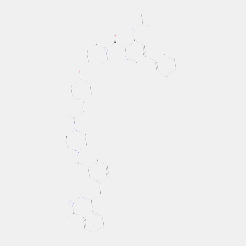 CC(=O)Nc1cc(-c2cccc(C)c2)cnc1C(=O)N1CCC(OC2CCN(CC(=O)N3CCN(C(=O)c4cc(Cc5n[nH]c(=O)c6ccccc56)ccc4F)CC3)CC2)CC1